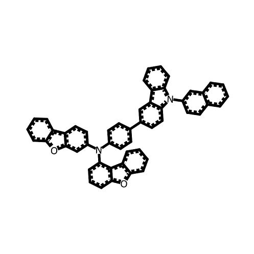 c1ccc2cc(-n3c4ccccc4c4cc(-c5ccc(N(c6ccc7c(c6)oc6ccccc67)c6cccc7oc8ccccc8c67)cc5)ccc43)ccc2c1